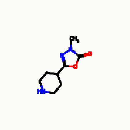 Cn1nc(C2CCNCC2)oc1=O